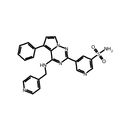 NS(=O)(=O)c1cncc(-c2nc(NCc3ccncc3)c3c(-c4ccccc4)ccn3n2)c1